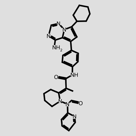 C/C(C(=O)Nc1ccc(-c2cc(C3CCCCC3)n3ncnc(N)c23)cc1)=C1/CCCCN1N(C=O)c1ccccn1